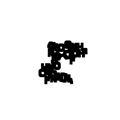 CCN1CCN(c2cc(NC(=O)Cn3cc(-c4cc(F)c(O)c(C(N)=O)c4)c4c(=O)n5c(nc43)CCC5)c(Cl)c(F)n2)CC1